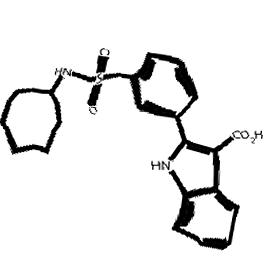 O=C(O)c1c(-c2cccc(S(=O)(=O)NC3CCCCC3)c2)[nH]c2ccccc12